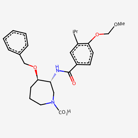 COCOc1ccc(C(=O)N[C@@H]2CN(C(=O)O)CCC[C@H]2OCc2ccccc2)cc1C(C)C